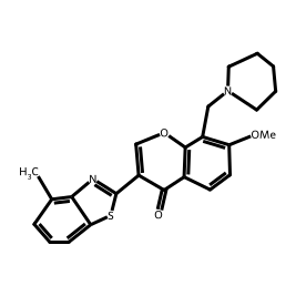 COc1ccc2c(=O)c(-c3nc4c(C)cccc4s3)coc2c1CN1CCCCC1